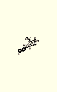 CCCC[C@H](NC(=O)CC(O)C1=CCC(C)(c2cccc(Cl)c2)C=C1)C(=O)N[C@@H](C[C@@H]1CCNC1=O)C(=O)C(=O)NCC